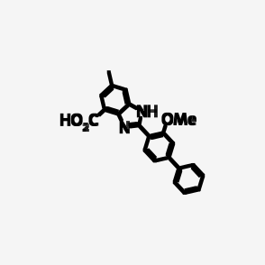 COc1cc(-c2ccccc2)ccc1-c1nc2c(C(=O)O)cc(C)cc2[nH]1